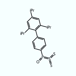 CC(C)c1cc(C(C)C)c(-c2ccc(P(=O)=S(=S)=S)cc2)c(C(C)C)c1